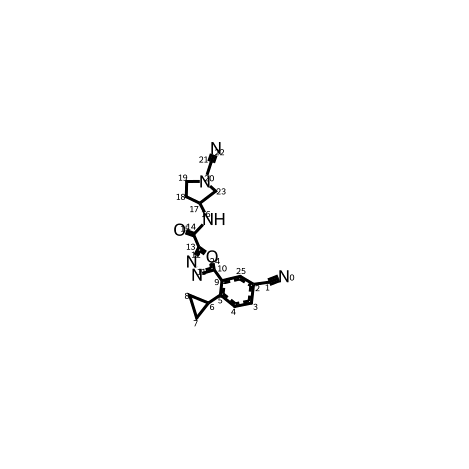 N#Cc1ccc(C2CC2)c(-c2nnc(C(=O)NC3CCN(C#N)C3)o2)c1